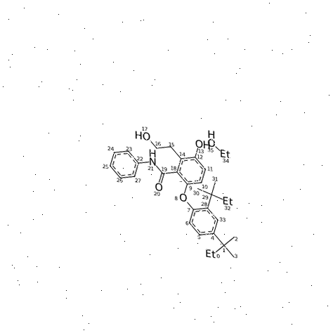 CCC(C)(C)c1ccc(Oc2ccc(O)c(CCO)c2C(=O)Nc2ccccc2)c(C(C)(C)CC)c1.CCO